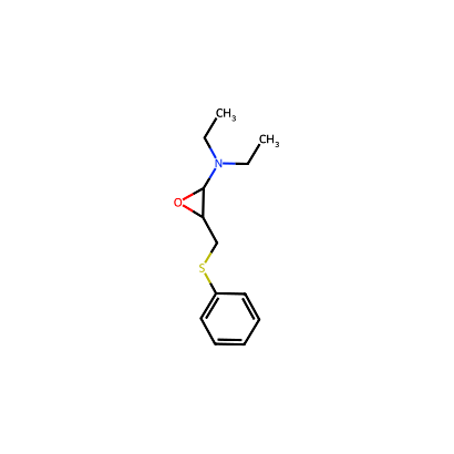 CCN(CC)C1OC1CSc1ccccc1